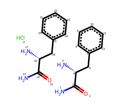 Cl.NC(=O)[C@H](N)Cc1ccccc1.NC(=O)[C@H](N)Cc1ccccc1